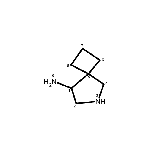 NC1CNCC12CCC2